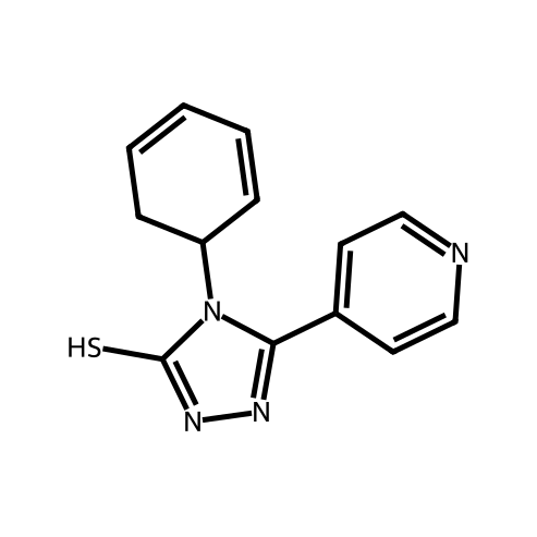 Sc1nnc(-c2ccncc2)n1C1C=CC=CC1